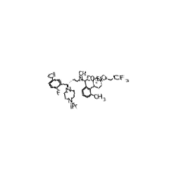 CCOC(=O)C(c1cccc(C)c1C1CCC(OCC(F)(F)F)CC1)N(C)CC[C@@H](c1cc(Cl)ccc1F)N1CCN(C(C)C)CC1